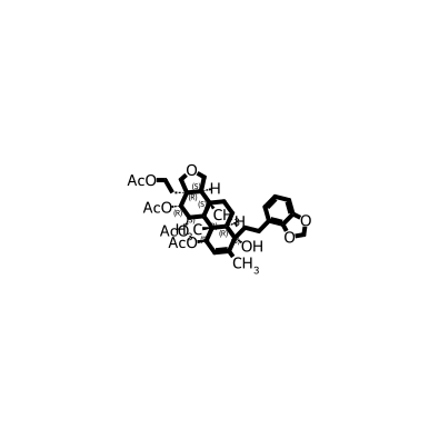 CC(=O)OCC[C@]12COC[C@H]1[C@]1(C)CC[C@@H]3[C@@](C)(C1[C@H](OC(C)=O)[C@@H]2OC(C)=O)[C@H](OC(C)=O)C=C(C)[C@]3(O)CCc1cccc2c1OCO2